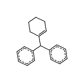 C1=C(C(c2ccccc2)c2ccccc2)CCCC1